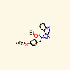 CCCCOc1ccc(C[C@@H](COCC)n2cnc3cnc4ccccc4c32)cc1